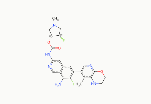 Cc1c(-c2cc3cc(NC(=O)O[C@@H]4CN(C)C[C@H]4F)ncc3c(N)c2F)cnc2c1NCCO2